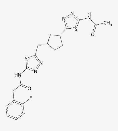 CC(=O)Nc1nnc([C@@H]2CC[C@H](Cc3nnc(NC(=O)Cc4ccccc4F)s3)C2)s1